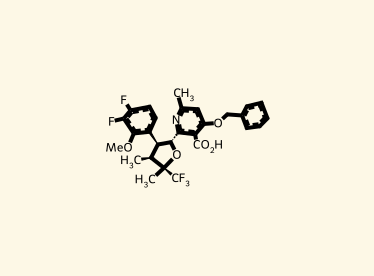 COc1c([C@H]2[C@H](c3nc(C)cc(OCc4ccccc4)c3C(=O)O)O[C@@](C)(C(F)(F)F)[C@H]2C)ccc(F)c1F